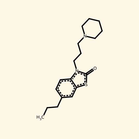 CCCc1ccc2c(c1)sc(=O)n2CCCN1CCCCC1